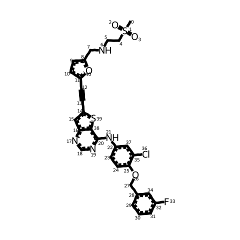 CS(=O)(=O)CCNCc1ccc(C#Cc2cc3ncnc(Nc4ccc(OCc5cccc(F)c5)c(Cl)c4)c3s2)o1